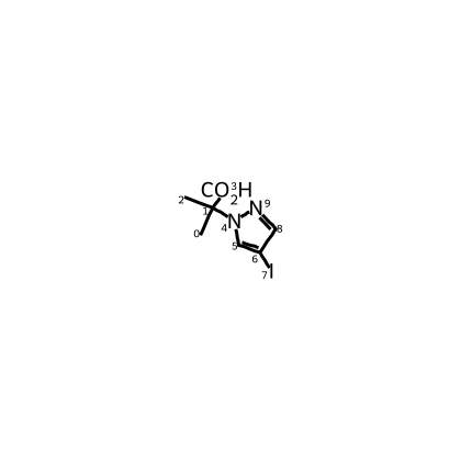 CC(C)(C(=O)O)n1cc(I)cn1